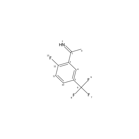 CC(=N)c1cc(C(F)(F)F)ccc1F